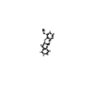 BrCc1cccc2cc3c(cc12)oc1ccccc13